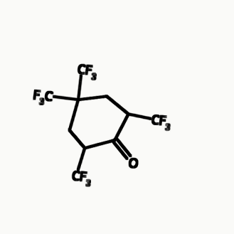 O=C1C(C(F)(F)F)CC(C(F)(F)F)(C(F)(F)F)CC1C(F)(F)F